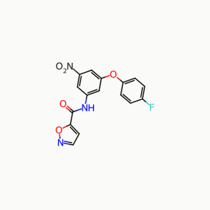 O=C(Nc1cc(Oc2ccc(F)cc2)cc([N+](=O)[O-])c1)c1ccno1